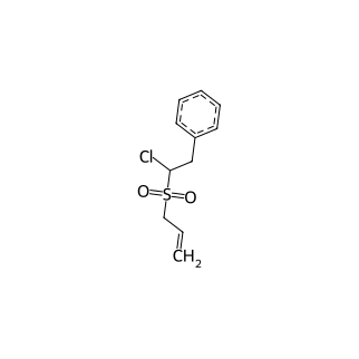 C=CCS(=O)(=O)C(Cl)Cc1ccccc1